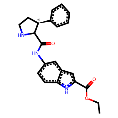 CCOC(=O)c1cc2cc(NC(=O)C3NCC[C@H]3c3ccccc3)ccc2[nH]1